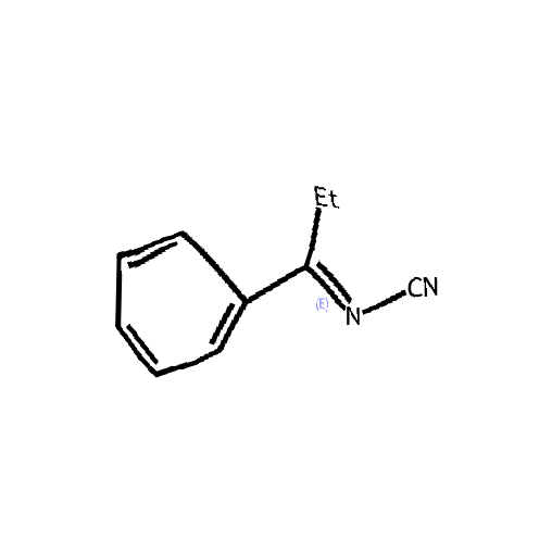 CC/C(=N\C#N)c1ccccc1